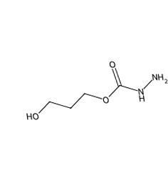 NNC(=O)OCCCO